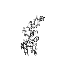 O=C(Nc1cccc2cc(C(=O)Nc3ccc(Br)cc3-c3nnn[nH]3)[nH]c12)c1ccc(Br)cc1